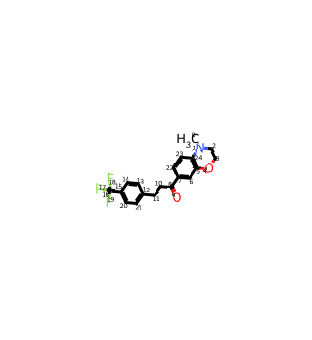 CN1CCOc2cc(C(=O)CCc3ccc(C(F)(F)F)cc3)ccc21